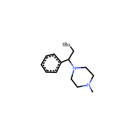 CN1CCN(C(CC(C)(C)C)c2ccccc2)CC1